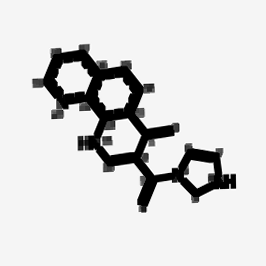 C=C1C(C(=C)N2C=CNC2)=CNc2c1ccc1cccnc21